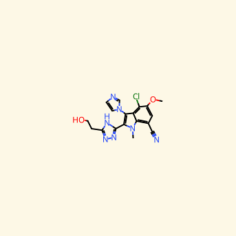 COc1cc(C#N)c2c(c1Cl)c(-n1ccnc1)c(-c1nnc(CCO)[nH]1)n2C